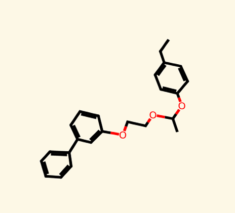 CCc1ccc(OC(C)OCCOc2cccc(-c3ccccc3)c2)cc1